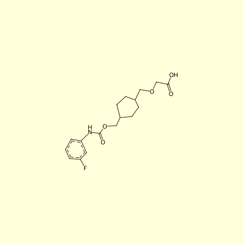 O=C(O)COCC1CCC(COC(=O)Nc2cccc(F)c2)CC1